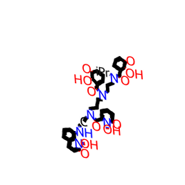 CC(C)N(CCCN(CCCCN(CCCNc1cccc2ccc(=O)n(O)c12)C(=O)c1cccc(=O)n1O)C(=O)C1=CC=CC(=O)C1O)C(=O)C1=CC=CC(=O)C1O